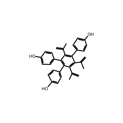 C=C(C)c1c(C(=C)C)c(-c2ccc(O)cc2)c(-c2ccc(O)cc2)c(C(=C)C)c1-c1ccc(O)cc1